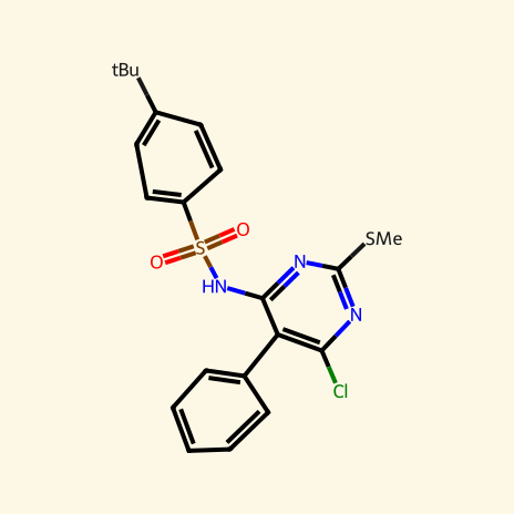 CSc1nc(Cl)c(-c2ccccc2)c(NS(=O)(=O)c2ccc(C(C)(C)C)cc2)n1